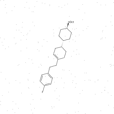 CCCCCCCC[C@H]1CC[C@H](C2CC=C(CCc3ccc(F)cc3)CC2)CC1